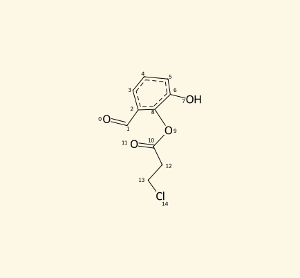 O=Cc1cccc(O)c1OC(=O)CCCl